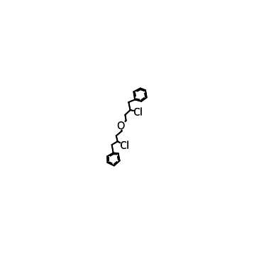 ClC(CCOCCC(Cl)Cc1ccccc1)Cc1ccccc1